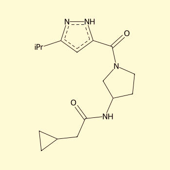 CC(C)c1cc(C(=O)N2CCC(NC(=O)CC3CC3)C2)[nH]n1